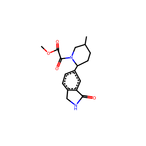 COC(=O)C(=O)N1CC(C)CCC1c1ccc2c(c1)C(=O)NC2